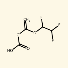 C=C(OC(=O)O)OC(F)C(F)F